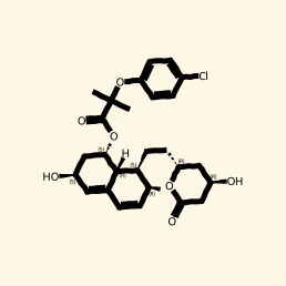 C[C@H]1C=CC2=C[C@@H](O)C[C@H](OC(=O)C(C)(C)Oc3ccc(Cl)cc3)[C@@H]2[C@H]1CC[C@@H]1C[C@@H](O)CC(=O)O1